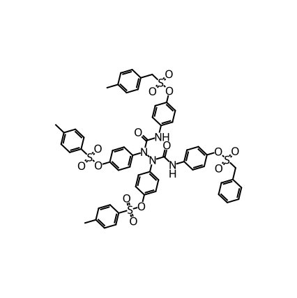 Cc1ccc(CS(=O)(=O)Oc2ccc(NC(=O)N(c3ccc(OS(=O)(=O)c4ccc(C)cc4)cc3)N(C(=O)Nc3ccc(OS(=O)(=O)Cc4ccccc4)cc3)c3ccc(OS(=O)(=O)c4ccc(C)cc4)cc3)cc2)cc1